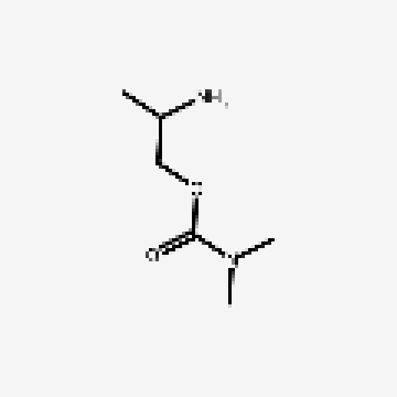 CC(N)COC(=O)N(C)C